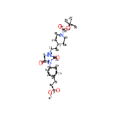 COC(=O)CCc1ccc(N2C(=O)CN(CCC3CCN(C(=O)OC(C)(C)C)CC3)C2=O)cc1